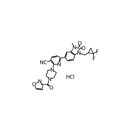 CN1c2cc(-c3ccc(C#N)c(N4CCN(C(=O)c5ccon5)CC4)n3)ccc2N(CC2CC2(F)F)S1(=O)=O.Cl